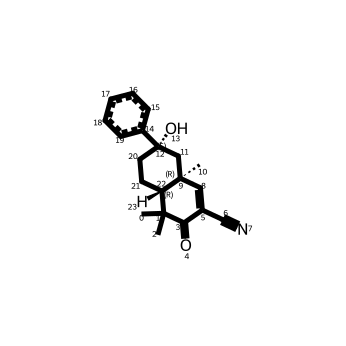 CC1(C)C(=O)C(C#N)=C[C@]2(C)C[C@](O)(c3ccccc3)CC[C@@H]12